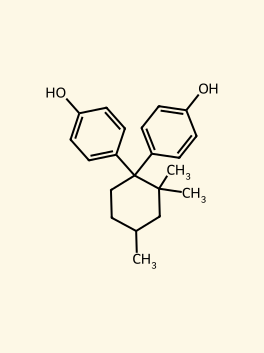 CC1CCC(c2ccc(O)cc2)(c2ccc(O)cc2)C(C)(C)C1